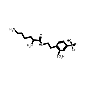 NCCCCC(N)C(=O)NCCc1ccc(P(=O)(O)O)cc1S(=O)(=O)O